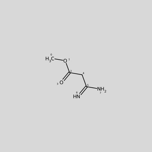 COC(=O)CC(=N)N